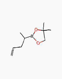 C=CCC(C)B1OCC(C)(C)O1